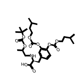 CC(C)CCOC(=O)Oc1ccc(C[C@H](NCC(C)OC(=O)OC(C)(C)C)C(=O)O)cc1OC(=O)OCCC(C)C